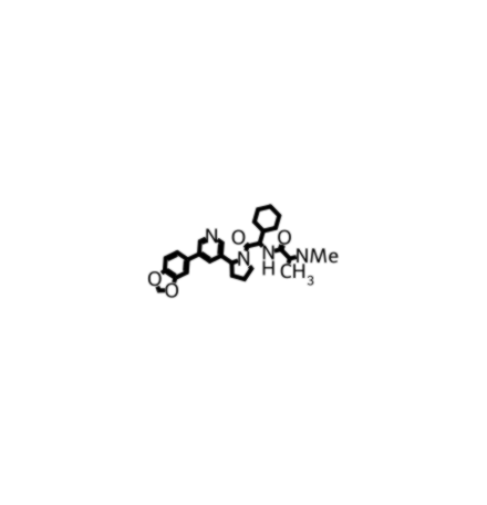 CNC(C)C(=O)NC(C(=O)N1CCCC1c1cncc(-c2ccc3c(c2)OCO3)c1)C1CCCCC1